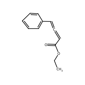 CCOC(=O)[C]=C=Cc1ccccc1